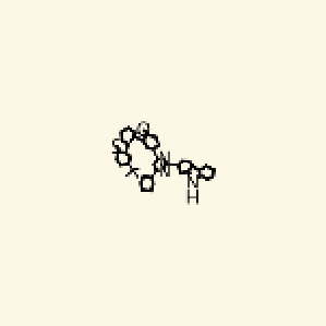 CC(C)(C)c1ccc2sc3ccc4oc5ccc(-c6cc(-c7ccccc7)nc(-c7ccc8c(c7)[nH]c7ccccc78)n6)cc5c4c3c2c1